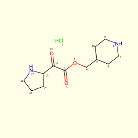 Cl.O=C(OCC1CCNCC1)C(=O)C1CCCN1